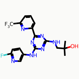 CC(C)(O)CNc1nc(Nc2ccc(F)nc2)nc(-c2cccc(C(F)(F)F)n2)n1